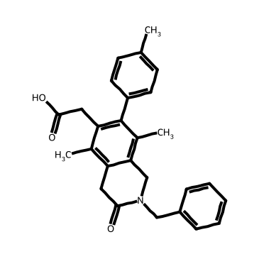 Cc1ccc(-c2c(C)c3c(c(C)c2CC(=O)O)CC(=O)N(Cc2ccccc2)C3)cc1